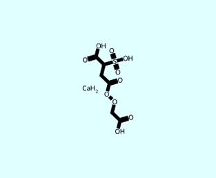 O=C(O)COOC(=O)CC(C(=O)O)S(=O)(=O)O.[CaH2]